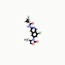 CC1COC(=O)N1c1cc(Cl)c2cnc(NC(=O)[C@@H]3C[C@@H]3F)cc2c1